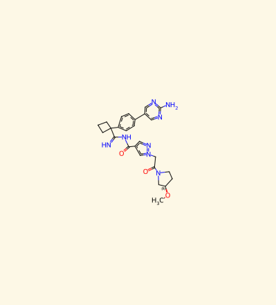 CO[C@@H]1CCN(C(=O)Cn2cc(C(=O)NC(=N)C3(c4ccc(-c5cnc(N)nc5)cc4)CCC3)cn2)C1